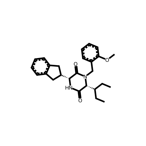 CCC(CC)[C@@H]1C(=O)N[C@H](C2Cc3ccccc3C2)C(=O)N1Cc1ccccc1OC